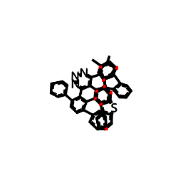 Cc1cc2c(c(-c3nnnc(-c4c(-c5ccccc5)ccc(-c5ccccc5)c4-c4cccc5sc6ccccc6c45)c3-c3ccccc3-c3ccccc3)c1C)Cc1ccccc1-2